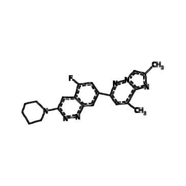 Cc1cn2nc(-c3cc(F)c4cc(N5CCCCC5)nnc4c3)cc(C)c2n1